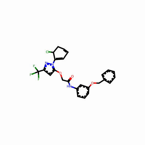 O=C(COc1cc(C(F)(F)F)nn1C1=CC=CCC1Cl)Nc1cccc(OCc2ccccc2)c1